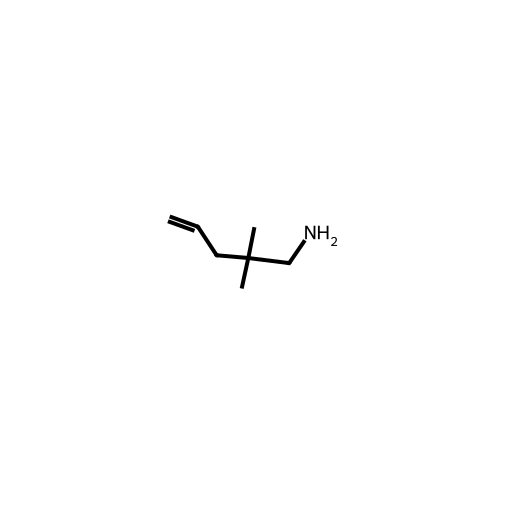 C=CCC(C)(C)CN